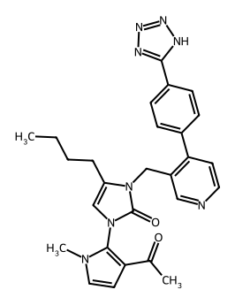 CCCCc1cn(-c2c(C(C)=O)ccn2C)c(=O)n1Cc1cnccc1-c1ccc(-c2nnn[nH]2)cc1